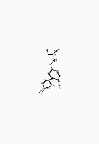 CC(C)[C@H](CO)NCc1ccc(F)c(-c2ccc(C(F)(F)F)nc2)n1